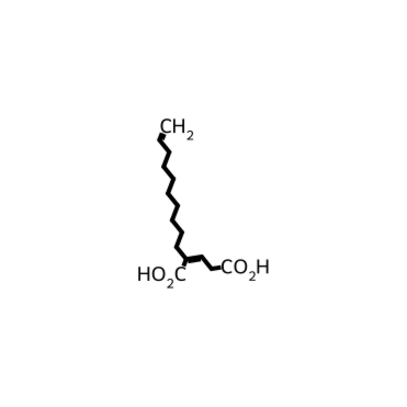 C=CCCCCCCCC/C(=C/CC(=O)O)C(=O)O